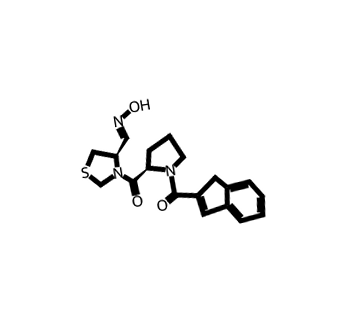 O=C([C@H]1CCCN1C(=O)C1=Cc2ccccc2C1)N1CSC[C@H]1C=NO